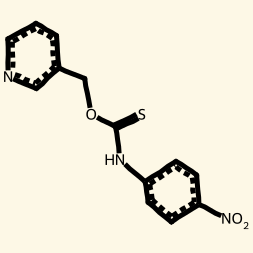 O=[N+]([O-])c1ccc(NC(=S)OCc2cccnc2)cc1